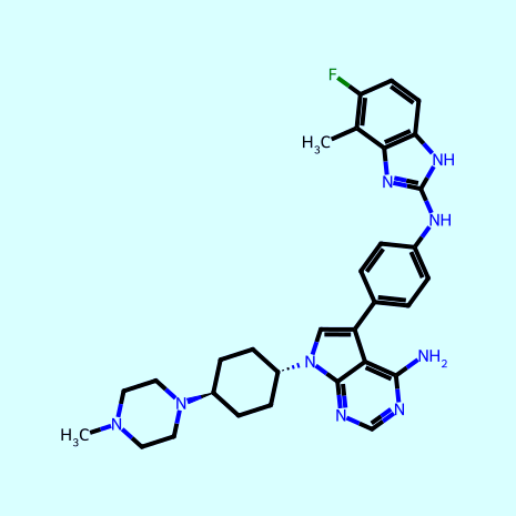 Cc1c(F)ccc2[nH]c(Nc3ccc(-c4cn([C@H]5CC[C@H](N6CCN(C)CC6)CC5)c5ncnc(N)c45)cc3)nc12